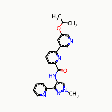 CC(C)Oc1cncc(-c2cccc(C(=O)Nc3cn(C)nc3-c3ccccn3)n2)c1